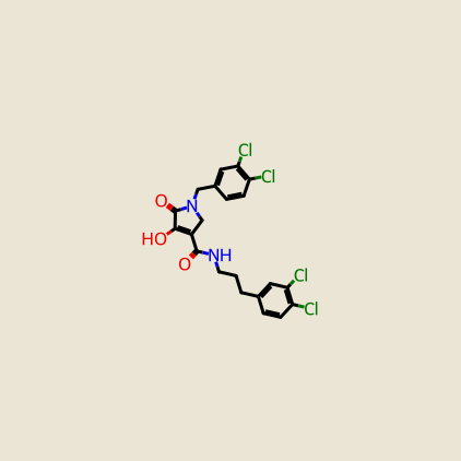 O=C(NCCCc1ccc(Cl)c(Cl)c1)C1=C(O)C(=O)N(Cc2ccc(Cl)c(Cl)c2)C1